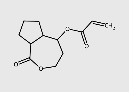 C=CC(=O)OC1CCOC(=O)C2CCCC12